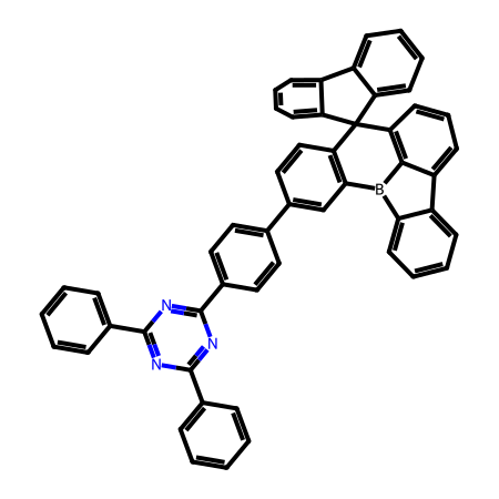 c1ccc(-c2nc(-c3ccccc3)nc(-c3ccc(-c4ccc5c(c4)B4c6ccccc6-c6cccc(c64)C54c5ccccc5-c5ccccc54)cc3)n2)cc1